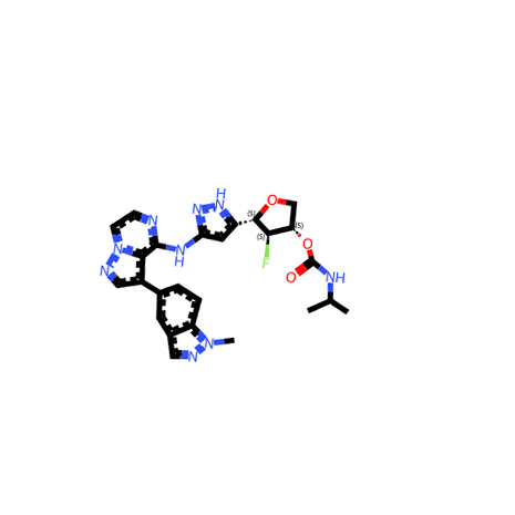 CC(C)NC(=O)O[C@H]1CO[C@@H](c2cc(Nc3nccn4ncc(-c5ccc6c(cnn6C)c5)c34)n[nH]2)[C@@H]1F